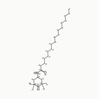 CCCCCCCCCCCCCCCCCC(=O)NC1CC(C)(C)NC(C)(C)C1